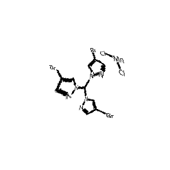 Brc1cnn(C(n2cc(Br)cn2)n2cc(Br)cn2)c1.[Cl][Mn][Cl]